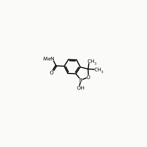 CNC(=O)c1ccc2c(c1)B(O)OC2(C)C